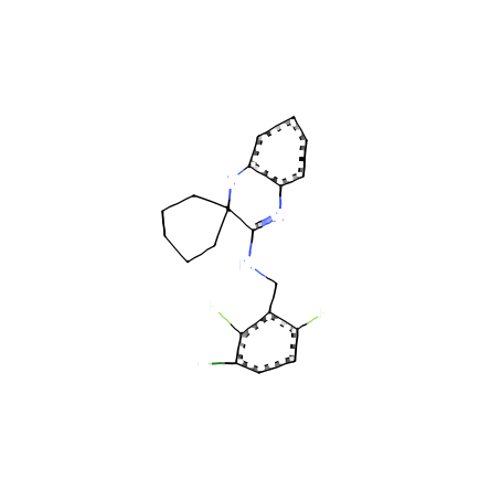 Fc1ccc(Cl)c(F)c1CNC1=Nc2ccccc2NC12CCCCC2